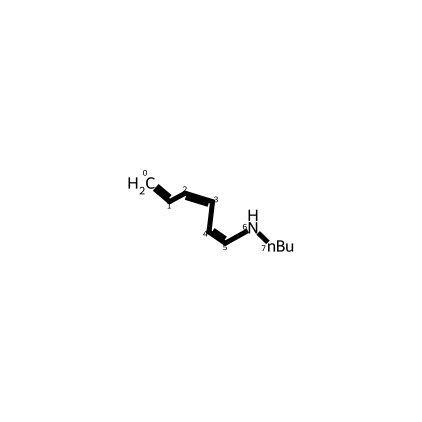 C=C/C=C\C=C/NCCCC